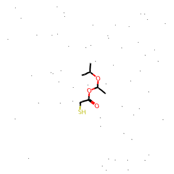 CC(C)OC(C)OC(=O)CS